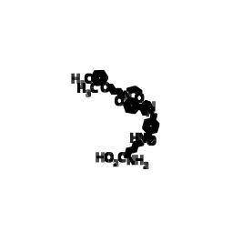 Cc1cccc(OCCCC(=O)N2CCCOc3c(-c4cnn(Cc5ccc(C(=O)NCCCC[C@H](N)C(=O)O)cc5)c4)cccc32)c1C